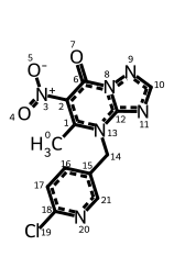 Cc1c([N+](=O)[O-])c(=O)n2ncnc2n1Cc1ccc(Cl)nc1